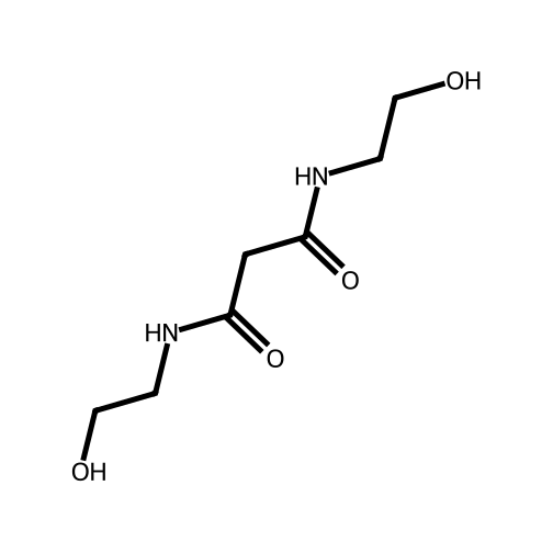 O=C(CC(=O)NCCO)NCCO